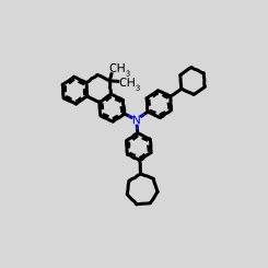 CC1(C)Cc2ccccc2-c2ccc(N(c3ccc(C4CCCCCC4)cc3)c3ccc(C4CCCCC4)cc3)cc21